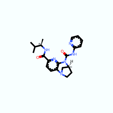 CC(C)[C@@H](C)NC(=O)c1ccc2c(n1)N(C(=O)Nc1ccccn1)[C@H]1CCN2C1